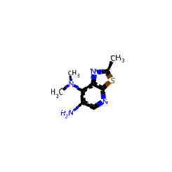 Cc1nc2c(N(C)C)c(N)cnc2s1